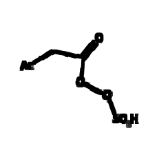 CC(=O)CC(=O)OOS(=O)(=O)O